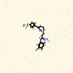 N[C@@H](CCN1CCCC(c2ccc(C(F)(F)F)cc2)C1)Cc1cc(F)c(F)cc1F